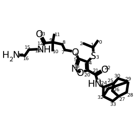 CC(C)Sc1c(OCCC(C)(C)C(=O)NCCN)noc1C(=O)NC1C2CC3CC(C2)CC1C3